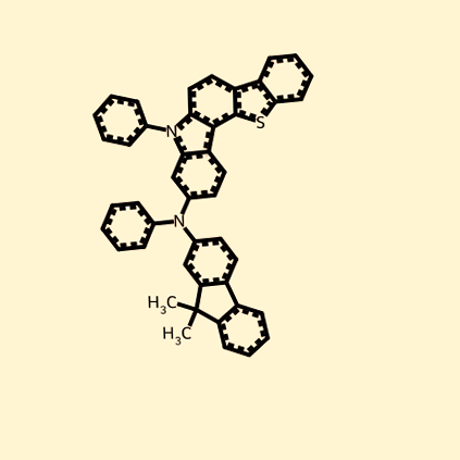 CC1(C)c2ccccc2-c2ccc(N(c3ccccc3)c3ccc4c5c6sc7ccccc7c6ccc5n(-c5ccccc5)c4c3)cc21